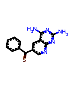 Nc1nc(N)c2cc(C(=S)c3ccccc3)cnc2n1